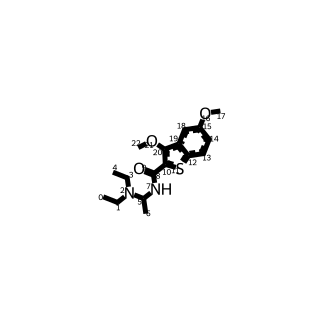 CCN(CC)C(C)NC(=O)c1sc2ccc(OC)cc2c1OC